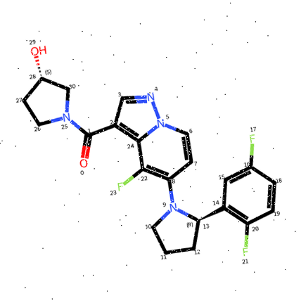 O=C(c1cnn2ccc(N3CCC[C@@H]3c3cc(F)ccc3F)c(F)c12)N1CC[C@H](O)C1